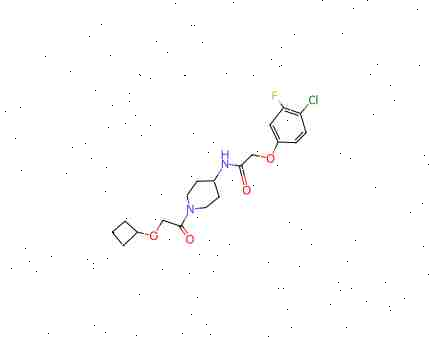 O=C(COc1ccc(Cl)c(F)c1)NC1CCN(C(=O)COC2CCC2)CC1